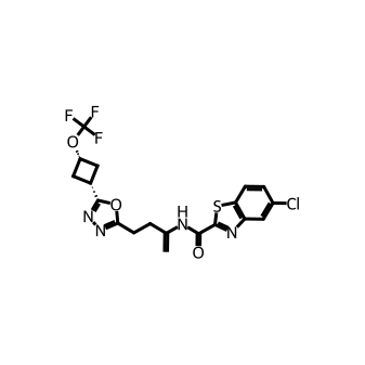 C=C(CCc1nnc([C@H]2C[C@@H](OC(F)(F)F)C2)o1)NC(=O)c1nc2cc(Cl)ccc2s1